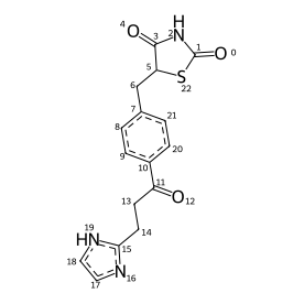 O=C1NC(=O)C(Cc2ccc(C(=O)CCc3ncc[nH]3)cc2)S1